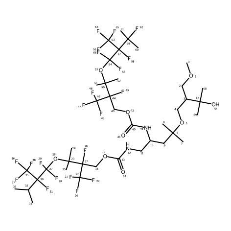 COCC(COC(C)(C)CC(CNC(=O)OCC(F)(C(F)(F)F)C(C)(C)OC(F)(F)C(F)(C(C)C)C(F)(F)F)NC(=O)OCC(F)(C(F)(F)F)C(C)(C)OC(F)(F)C(F)(C(C)(C)F)C(F)(F)F)C(C)(C)O